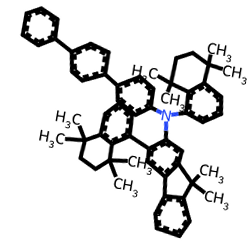 CC1(C)CCC(C)(C)c2c(-c3cc4c(cc3N(c3ccc(-c5ccc(-c6ccccc6)cc5)cc3)c3cccc5c3C(C)(C)CCC5(C)C)C(C)(C)c3ccccc3-4)cccc21